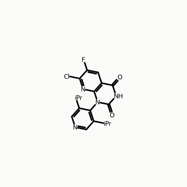 CC(C)c1cncc(C(C)C)c1-n1c(=O)[nH]c(=O)c2cc(F)c(Cl)nc21